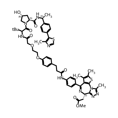 COC(=O)C[C@@H]1N=C(c2ccc(NC(=O)CCc3ccc(OCCOCC(=O)NC(C(=O)N4C[C@H](O)C[C@H]4C(=O)N[C@@H](C)c4ccc(-c5scnc5C)cc4)C(C)(C)C)cc3)cc2)c2c(sc(C)c2C)-n2c(C)nnc21